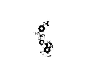 COc1cc2ncnc(N3CCC(OC(=O)Nc4ccc(OC(C)C)cc4)C3)c2cc1OC